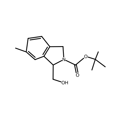 Cc1ccc2c(c1)C(CO)N(C(=O)OC(C)(C)C)C2